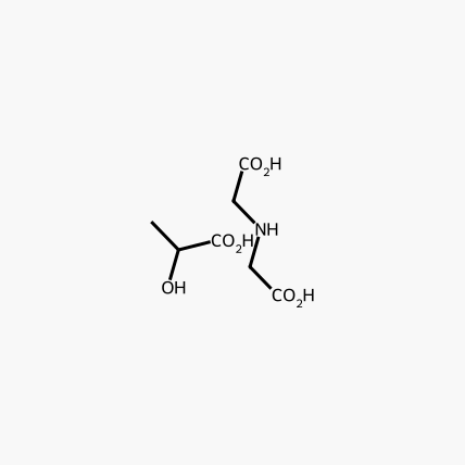 CC(O)C(=O)O.O=C(O)CNCC(=O)O